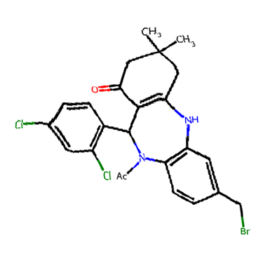 CC(=O)N1c2ccc(CBr)cc2NC2=C(C(=O)CC(C)(C)C2)C1c1ccc(Cl)cc1Cl